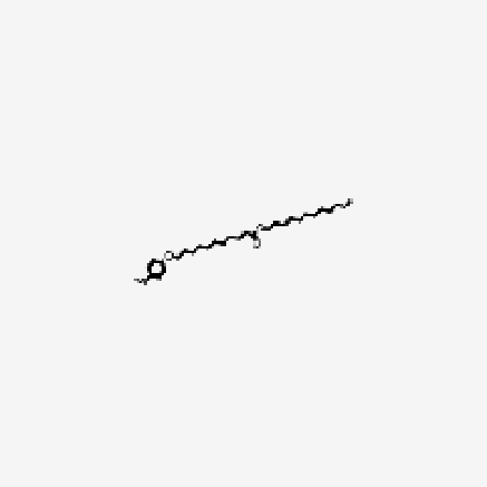 CCCCCCCCCCCCOC(=O)CCCCCCCCCCOc1ccc(SC)cc1